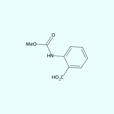 COC(=O)Nc1ccccc1C(=O)O